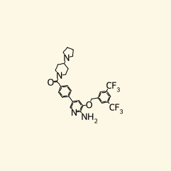 Nc1ncc(-c2ccc(C(=O)N3CCC(N4CCCC4)CC3)cc2)cc1OCc1cc(C(F)(F)F)cc(C(F)(F)F)c1